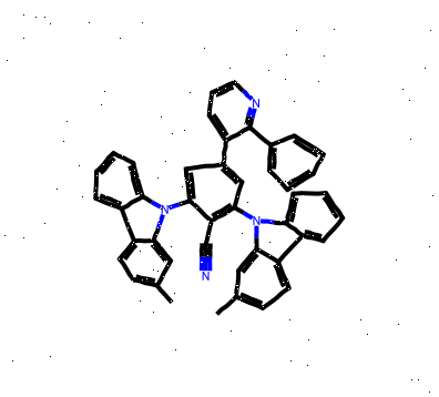 Cc1ccc2c3ccccc3n(-c3cc(-c4cccnc4-c4ccccc4)cc(-n4c5ccccc5c5ccc(C)cc54)c3C#N)c2c1